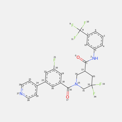 O=C(Nc1cccc(C(F)(F)F)c1)C1CN(C(=O)c2cc(F)cc(-c3ccncc3)c2)CC(F)(F)C1